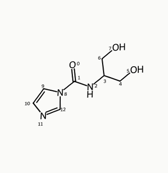 O=C(NC(CO)CO)n1ccnc1